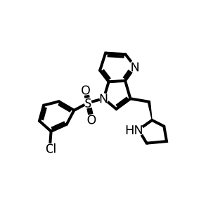 O=S(=O)(c1cccc(Cl)c1)n1cc(C[C@H]2CCCN2)c2ncccc21